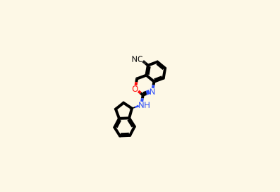 N#Cc1cccc2c1COC(N[C@@H]1CCc3ccccc31)=N2